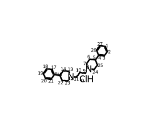 Cl.c1ccc(C2CCN(CCCN3CCC(c4ccccc4)CC3)CC2)cc1